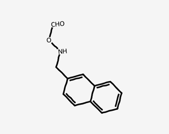 O=CONCc1ccc2ccccc2c1